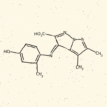 Cc1cc(O)ccc1N=C1C(C(=O)O)=Nn2nc(C)c(C)c21